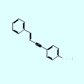 O=C(O)c1ccc(C#CC=Cc2ccccc2)cc1